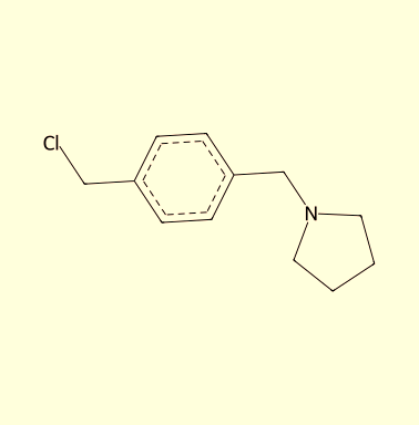 ClCc1ccc(CN2CCCC2)cc1